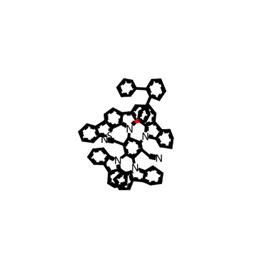 N#Cc1c(-n2c3ccccc3c3ccccc32)c(-n2c3ccccc3c3ccccc32)c(C#N)c(-n2c3ccc(-c4ccccc4-c4ccccc4)cc3c3ccc4c5ccccc5sc4c32)c1-n1c2ccccc2c2ccccc21